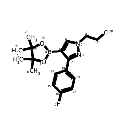 CC1(C)OB(c2cn(CCCl)nc2-c2ccc(F)cc2)OC1(C)C